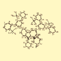 CC(C)(C)c1ccccc1-c1cc(-c2ccc3c(c2)c2cc(-c4cc(-c5ccccc5C(C)(C)C)cc(-c5ccccc5C(C)(C)C)c4)ccc2n3-c2ccccc2-c2ccccc2F)cc(-c2ccccc2C(C)(C)C)c1